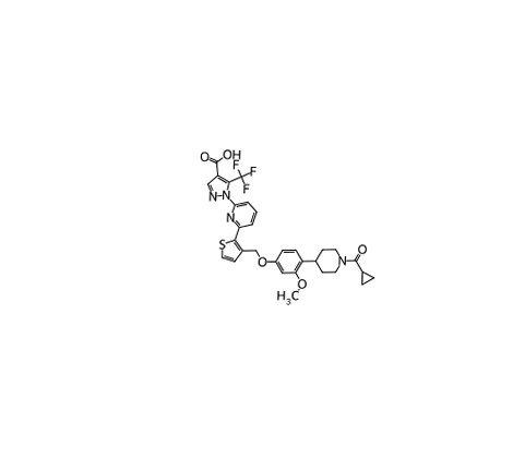 COc1cc(OCc2ccsc2-c2cccc(-n3ncc(C(=O)O)c3C(F)(F)F)n2)ccc1C1CCN(C(=O)C2CC2)CC1